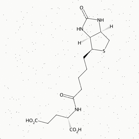 O=C(O)CC[C@H](NC(=O)CCCC[C@@H]1SC[C@@H]2NC(=O)N[C@@H]21)C(=O)O